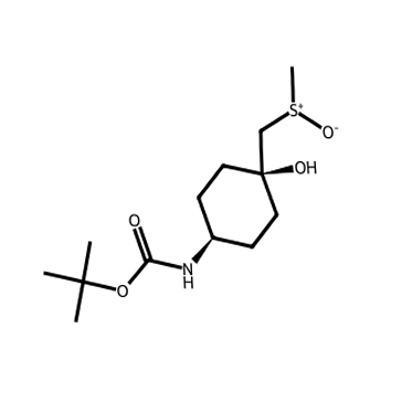 C[S+]([O-])C[C@]1(O)CC[C@@H](NC(=O)OC(C)(C)C)CC1